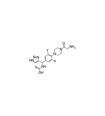 NCC(=O)N1CCN(c2c(F)cc(C(NC(O)=S)c3c[nH]nn3)cc2F)CC1